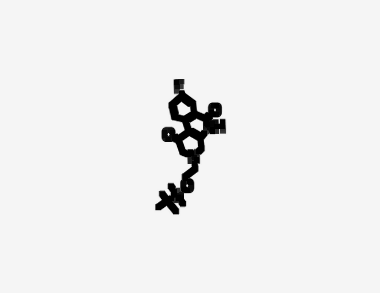 CC(C)(C)[Si](C)(C)OCCN1CC(=O)c2c([nH]c(=O)c3cc(F)ccc23)C1